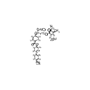 CC(C)(C)CC1(C(=O)OCCC(C=O)Oc2ccc(C(=O)Oc3ccc(-c4ccc(C#N)cc4)cc3)cc2)CC1(C)C